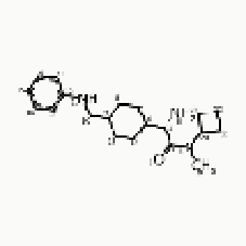 CN(C(=O)[C@@H](N)C1CCC(CNc2ccccc2)CC1)C1CCC1